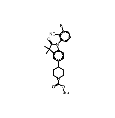 CC(C)(C)OC(=O)N1CCC(c2ccc3c(c2)C(C)(C)C(=O)N3c2cccc(Br)c2C#N)CC1